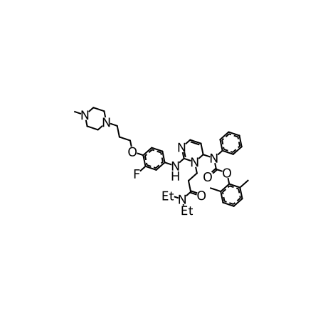 CCN(CC)C(=O)CCN1C(Nc2ccc(OCCCN3CCN(C)CC3)c(F)c2)=NC=CC1N(C(=O)Oc1c(C)cccc1C)c1ccccc1